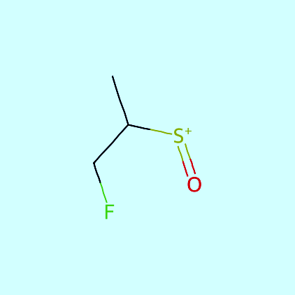 CC(CF)[S+]=O